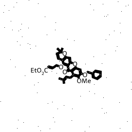 CCOC(=O)/C=C/COc1c2c(cc3oc4cc(OCc5ccccc5)c(OC)c(CC=C(C)C)c4c(=O)c13)OC(C)(C)C=C2